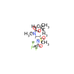 CN(CCS(C)(=O)=NC(=O)C(F)(F)F)C(=O)OC(C)(C)C